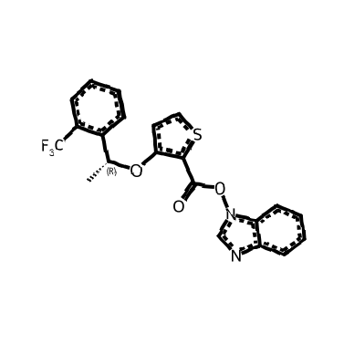 C[C@@H](Oc1ccsc1C(=O)On1cnc2ccccc21)c1ccccc1C(F)(F)F